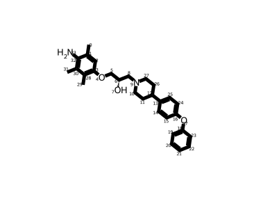 Cc1cc(OC[C@@H](O)CN2CCC(c3ccc(Oc4ccccc4)cc3)CC2)c(C)c(C)c1N